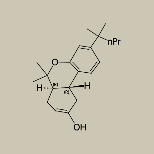 CCCC(C)(C)c1ccc2c(c1)OC(C)(C)[C@@H]1CC=C(O)C[C@@H]21